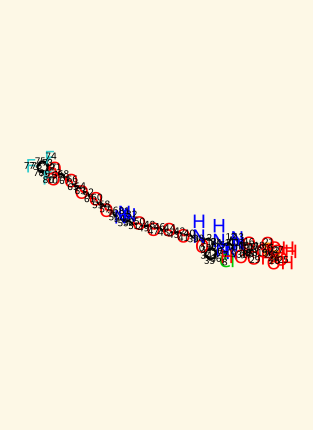 O=C(C[C@@H](Nc1nc(Cl)nc2c1cnn2[C@@H]1O[C@H](COP(=O)(O)CP(=O)(O)O)[C@@H](O)[C@H]1O)c1ccccc1)NCCOCCOCCOCCOCc1cn(CCOCCOCCOCCOCCC(=O)Oc2c(F)cc(F)cc2F)nn1